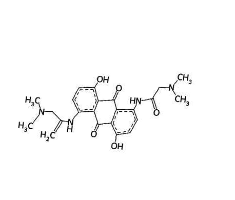 C=C(CN(C)C)Nc1ccc(O)c2c1C(=O)c1c(O)ccc(NC(=O)CN(C)C)c1C2=O